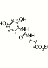 CCOC(=O)CCNC(=O)Nc1ccc(O)cc1O